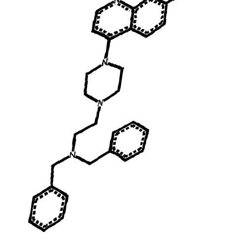 Clc1ccc2c(N3CCN(CCN(Cc4ccccc4)Cc4ccccc4)CC3)ccnc2c1